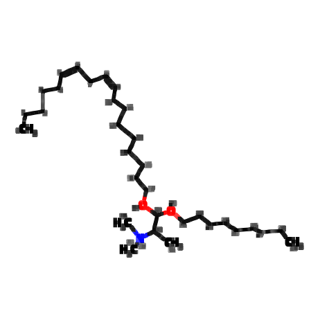 CCCCC/C=C\C/C=C\CCCCCCCCOC(OCCCCCCCCC)C(C)N(C)C